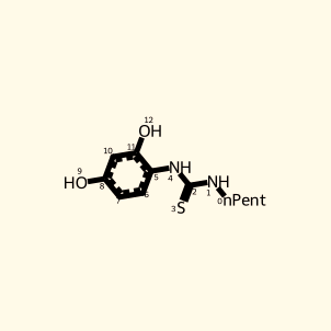 CCCCCNC(=S)Nc1ccc(O)cc1O